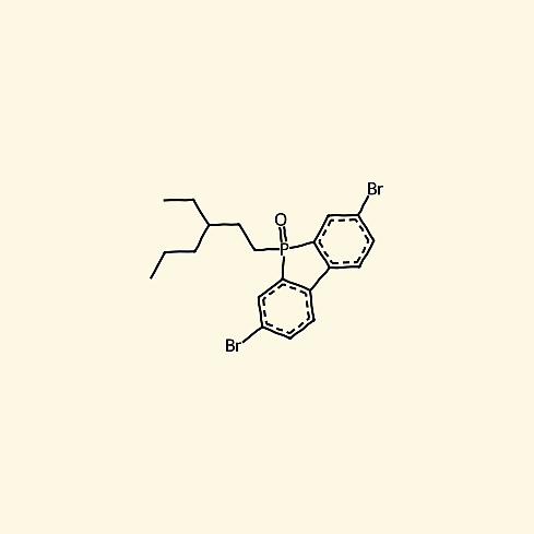 CCCC(CC)CCP1(=O)c2cc(Br)ccc2-c2ccc(Br)cc21